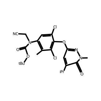 Cc1c(N(CC#N)C(=O)OC(C)(C)C)cc(Cl)c(Oc2cc(C(C)C)c(=O)n(C)n2)c1Cl